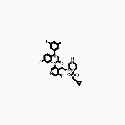 Cc1cc(F)cc([C@@H](CC(=O)Nc2cncc(F)c2CC[C@H]2CNCCN2S(=O)(=O)CC2CC2)c2ccc(F)cc2)c1